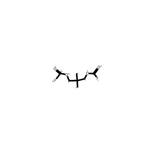 CC(C)(COC(=O)F)COC(=O)F